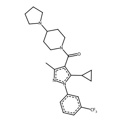 Cc1nn(-c2cccc(C(F)(F)F)c2)c(C2CC2)c1C(=O)N1CCC(N2CCCC2)CC1